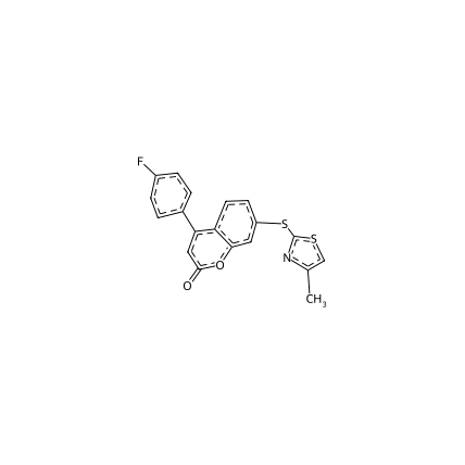 Cc1csc(Sc2ccc3c(-c4ccc(F)cc4)cc(=O)oc3c2)n1